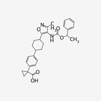 Cc1noc(C2CCC(c3ccc(C4(C(=O)O)CC4)cc3)CC2)c1NC(=O)OC(C)c1ccccc1